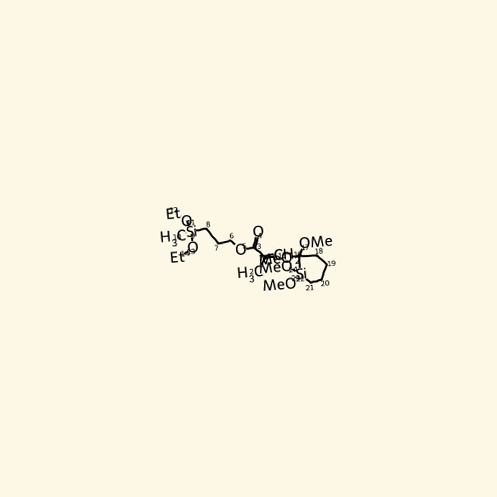 C=C(C)C(=O)OCCC[Si](C)(OCC)OCC.COC1(OC)CCCC[Si]1(OC)OC